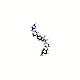 Cc1ccc(CN2CCC(c3ccc4cc(C(=O)N5CCN(Cc6ccc(C(F)(F)F)cc6)CC5)n(C)c4c3)CC2)cn1